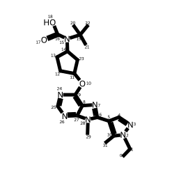 CCn1ncc(-c2nc3c(OC4CCC(N(C(=O)O)C(C)(C)C)C4)ncnc3n2C)c1C